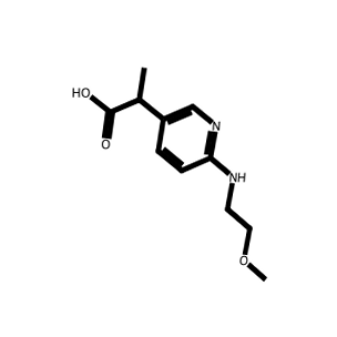 COCCNc1ccc(C(C)C(=O)O)cn1